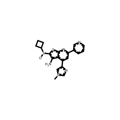 Cn1cnc(-c2cc(-c3cccnc3)nc3sc([S+]([O-])C4CCC4)c(N)c23)c1